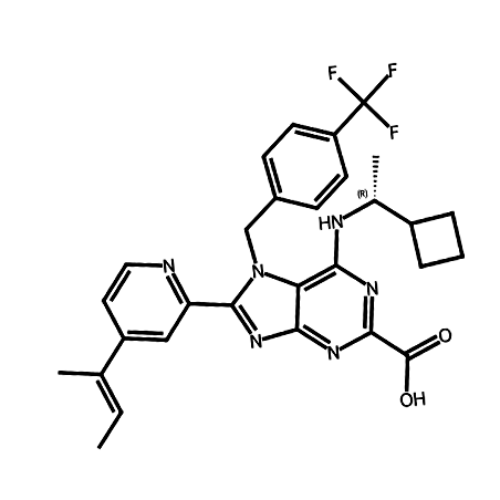 CC=C(C)c1ccnc(-c2nc3nc(C(=O)O)nc(N[C@H](C)C4CCC4)c3n2Cc2ccc(C(F)(F)F)cc2)c1